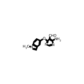 Cn1ccc2cc(Oc3ncnc(N)c3C=O)ccc21